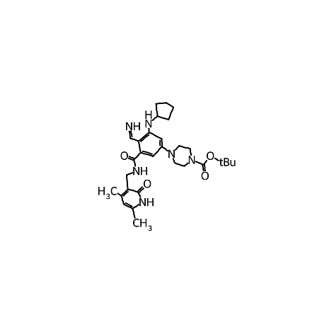 Cc1cc(C)c(CNC(=O)c2cc(N3CCN(C(=O)OC(C)(C)C)CC3)cc(NC3CCCC3)c2C=N)c(=O)[nH]1